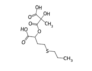 CCCSCCC(OC(=O)C(C)(O)C(=O)O)C(=O)O